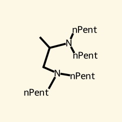 CCCCCN(CCCCC)CC(C)N(CCCCC)CCCCC